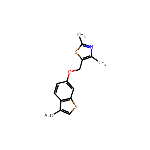 CC(=O)Oc1csc2cc(OCc3sc(C)nc3C(F)(F)F)ccc12